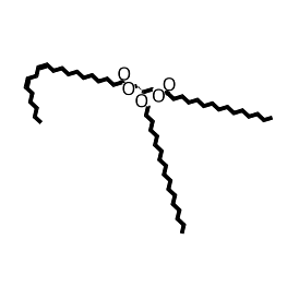 CCCCC/C=C\C/C=C\CCCCCCCCCC(=O)OC[C@H](COC(=O)CCCCCCCCCCCCCC)OCCCCCCCCCCCCCCCCCC